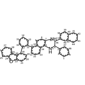 c1ccc(C2Nc3c(ccc4c(-c5ccccc5-c5cccc6oc7ccccc7c56)cccc34)NC2c2ccc3ccccc3c2)cc1